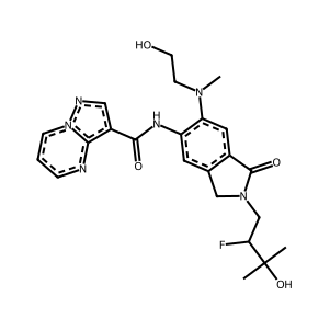 CN(CCO)c1cc2c(cc1NC(=O)c1cnn3cccnc13)CN(CC(F)C(C)(C)O)C2=O